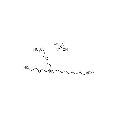 CCCCCCCCCCCCCCCCCCNC(CCOCCO)CCOCCC(=O)O.COS(=O)(=O)O